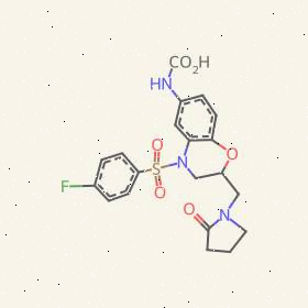 O=C(O)Nc1ccc2c(c1)N(S(=O)(=O)c1ccc(F)cc1)CC(CN1CCCC1=O)O2